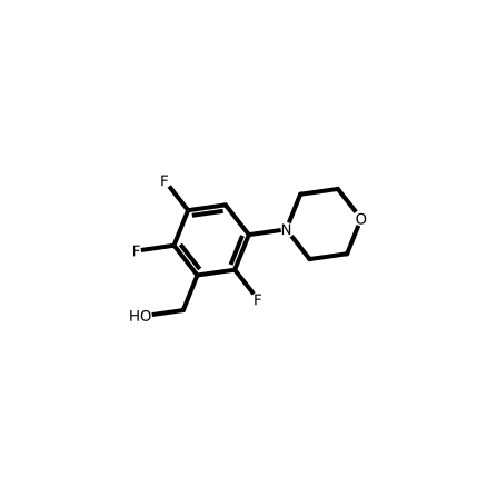 OCc1c(F)c(F)cc(N2CCOCC2)c1F